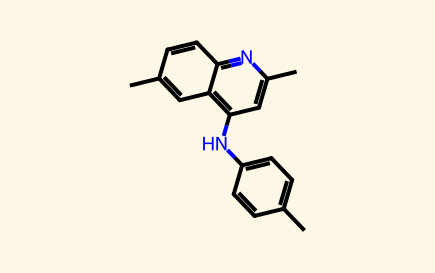 Cc1ccc(Nc2cc(C)nc3ccc(C)cc23)cc1